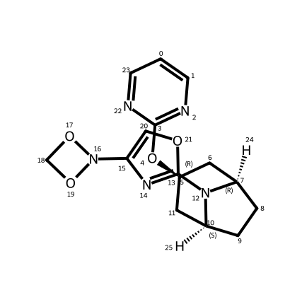 c1cnc(O[C@H]2C[C@H]3CC[C@@H](C2)N3c2nc(N3OCO3)co2)nc1